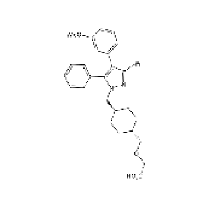 COc1cccc(-c2c(C(C)C)nn(C[C@H]3CC[C@H](COCC(=O)O)CC3)c2-c2ccccc2)c1